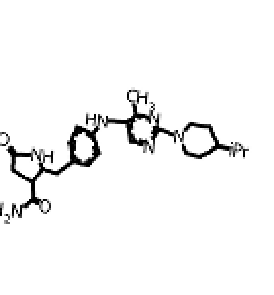 Cc1nc(N2CCC(C(C)C)CC2)ncc1Nc1ccc(CC2NC(=O)CC2C(N)=O)cc1